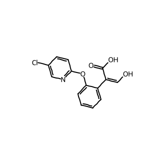 O=C(O)C(=CO)c1ccccc1Oc1ccc(Cl)cn1